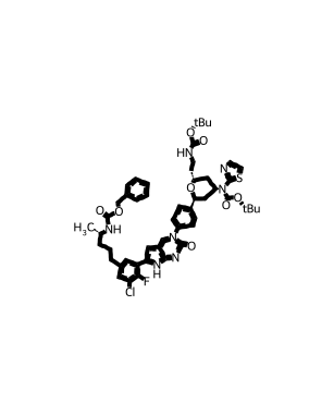 C[C@@H](CCCc1cc(Cl)c(F)c(-c2cc3cn(-c4ccc([C@@H]5C[C@@H](N(C(=O)OC(C)(C)C)c6nccs6)C[C@@H](CCNC(=O)OC(C)(C)C)O5)cc4)c(=O)nc3[nH]2)c1)NC(=O)OCc1ccccc1